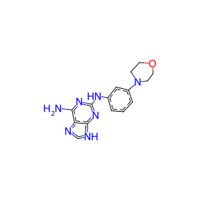 Nc1nc(Nc2cccc(N3CCOCC3)c2)nc2[nH]cnc12